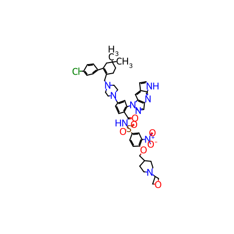 CC1(C)CCC(CN2CCN(c3ccc(C(=O)NS(=O)(=O)c4ccc(OCC5CCN(C6COC6)CC5)c([N+](=O)[O-])c4)c(-n4ncc5nc6[nH]ccc6cc54)c3)CC2)=C(c2ccc(Cl)cc2)C1